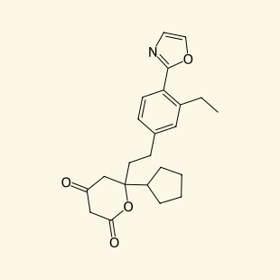 CCc1cc(CCC2(C3CCCC3)CC(=O)CC(=O)O2)ccc1-c1ncco1